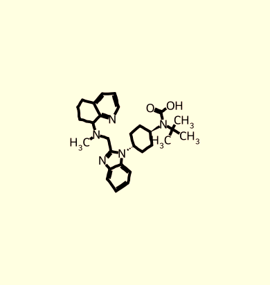 CN(Cc1nc2ccccc2n1[C@H]1CC[C@H](N(C(=O)O)C(C)(C)C)CC1)C1CCCc2cccnc21